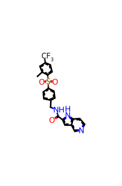 Cc1cc(C(F)(F)F)ccc1S(=O)(=O)c1ccc(CNC(=O)c2cc3cnccc3[nH]2)cc1